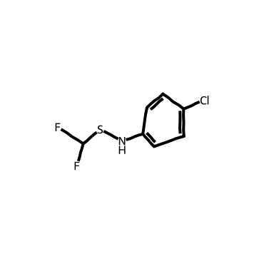 FC(F)SNc1ccc(Cl)cc1